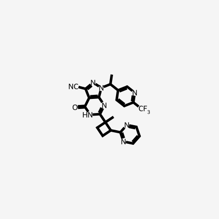 CC(c1ccc(C(F)(F)F)nc1)n1nc(C#N)c2c(=O)[nH]c(C3(C)CCC3c3ncccn3)nc21